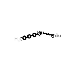 [CH2+][CH-]CCOCCCCCCOc1cnc(-c2ccc(-c3ccc(-c4ccc(C)cc4)cc3)cc2)nc1